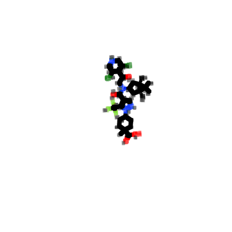 CC1(C(=O)O)CCC(n2ncc(C(=O)N(CC(=O)c3c(Cl)cncc3Cl)[C@H]3C[C@@H]4[C@H](C3)C4(C)C)c2C(F)(F)F)CC1